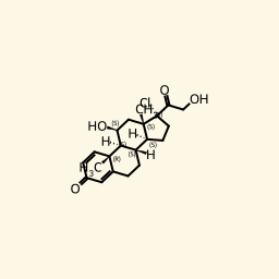 C[C@]12C=CC(=O)C=C1CC[C@@H]1[C@@H]2[C@@H](O)C[C@@]2(C)[C@H]1CC[C@]2(Cl)C(=O)CO